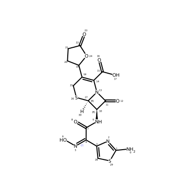 Nc1nc(/C(=N/O)C(=O)N[C@@H]2C(=O)N3C(C(=O)O)=C(C4CCC(=O)O4)CS[C@H]23)cs1